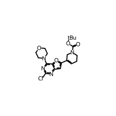 CC(C)(C)OC(=O)N1CCC=C(c2cc3nc(Cl)nc(N4CCOCC4)c3o2)C1